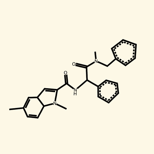 CC1=CC2C=C(C(=O)NC(C(=O)N(C)Cc3ccccc3)c3ccccc3)N(C)C2C=C1